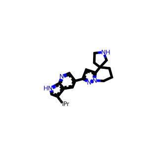 CC(C)c1c[nH]c2ncc(-c3cc4n(n3)CCCC43CCNC3)cc12